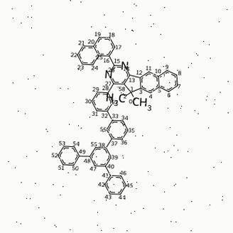 CC1(C)c2cc3ccccc3cc2-c2nc(-c3cccc4ccccc34)nc(-c3cccc(-c4cccc(-c5cc(-c6ccccc6)cc(-c6ccccc6)c5)c4)c3)c21